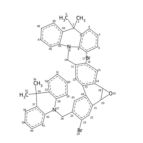 CC1(C)c2ccccc2N(Cc2cc3c(cc2Br)C2OC2c2cc(Br)c(CN4c5ccccc5C(C)(C)c5ccccc54)cc2-3)c2ccccc21